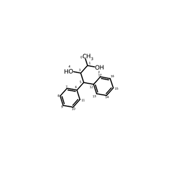 CC(O)C(O)C(c1ccccc1)c1ccccc1